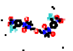 CC1(C)C(=O)N(c2ccc([N+](=O)[O-])c(C(F)(F)F)c2)C(=O)N1CCOCCN1C(=O)N(c2ccc([N+](=O)[O-])c(C(F)(F)F)c2)C(=O)C1(C)C